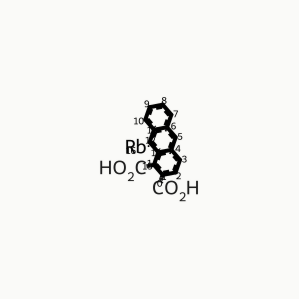 O=C(O)c1ccc2cc3ccccc3cc2c1C(=O)O.[Rb]